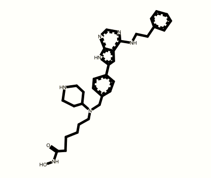 O=C(CCCCCN(Cc1ccc(-c2cc3c(NCCc4ccccc4)ncnc3[nH]2)cc1)C1CCNCC1)NO